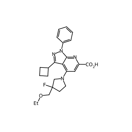 CCOCC1(F)CCN(c2cc(C(=O)O)nc3c2c(C2CCC2)nn3-c2ccccc2)C1